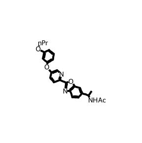 CCCOc1cccc(Oc2ccc(-c3nc4ccc(C(C)NC(C)=O)cc4o3)nc2)c1